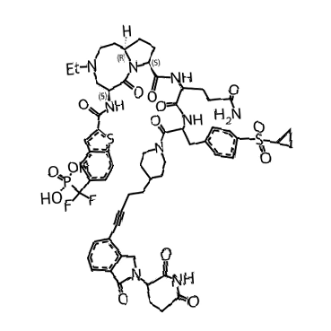 CCN1CC[C@H]2CC[C@@H](C(=O)NC(CCC(N)=O)C(=O)NC(Cc3ccc(S(=O)(=O)C4CC4)cc3)C(=O)N3CCC(CCC#Cc4cccc5c4CN(C4CCC(=O)NC4=O)C5=O)CC3)N2C(=O)[C@@H](NC(=O)c2cc3cc(C(F)(F)P(=O)(O)O)ccc3s2)C1